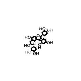 OC1=C(O)CC([C@H]2Oc3c(c(O)cc4c3C3c5c(O)cc(O)cc5O[C@@](C5C=CC(O)=C(O)C5)(O4)C3O)C[C@H]2O)C=C1